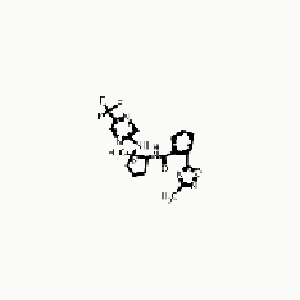 Cc1noc(-c2ccccc2C(=O)NC2CCC[C@]2(C)Nc2cnc(C(F)(F)F)cn2)n1